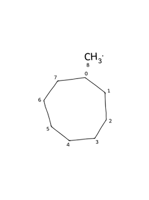 C1CCCCCCC1.[CH3]